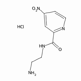 Cl.NCCNC(=O)c1cc([N+](=O)[O-])ccn1